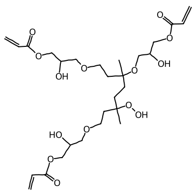 C=CC(=O)OCC(O)COCCC(C)(CCC(C)(CCOCC(O)COC(=O)C=C)OCC(O)COC(=O)C=C)OO